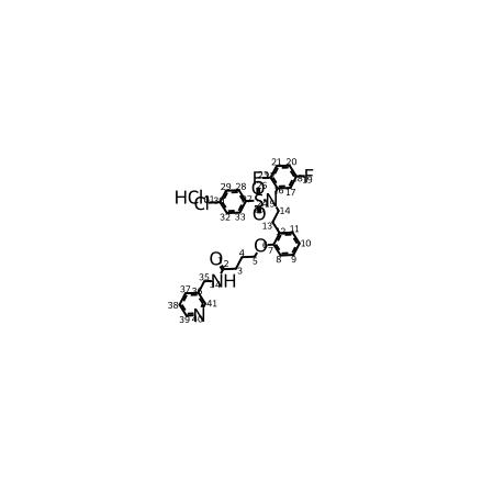 Cl.O=C(CCCOc1ccccc1CCN(c1cc(F)ccc1F)S(=O)(=O)c1ccc(Cl)cc1)NCc1cccnc1